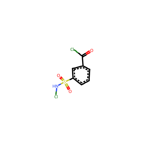 O=C(Cl)c1cccc(S(=O)(=O)NCl)c1